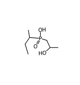 CCC(C)P(=O)(O)CC(C)O